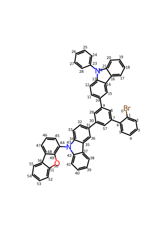 Brc1ccccc1-c1cc(-c2ccc3c(c2)c2ccccc2n3-c2ccccc2)cc(-c2ccc3c(c2)c2ccccc2n3-c2cccc3c2oc2ccccc23)c1